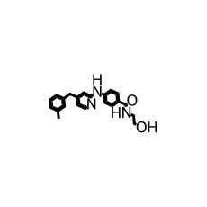 Cc1cccc(Cc2ccnc(Nc3ccc(C(=O)NCCO)cc3)c2)c1